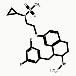 CCOC(=O)NC1CCc2ccc(OCCN(C3CC3)S(C)(=O)=O)cc2C1Cc1cc(F)cc(F)c1